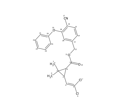 CC1(C)C(C=C(Cl)Cl)C1C(=O)OCc1ccc(C#N)c(Oc2ccccc2)c1